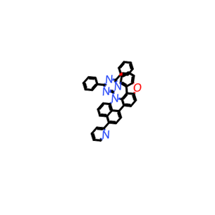 c1ccc(-c2nc(-c3ccccc3)nc(N3c4cccc5c(-c6ccccn6)ccc(c45)-c4ccc5oc6ccccc6c5c43)n2)cc1